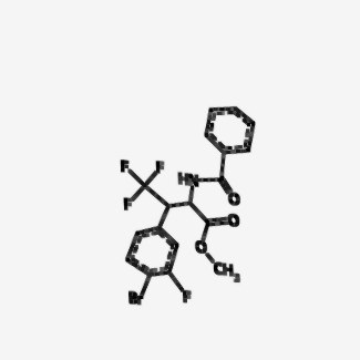 COC(=O)C(NC(=O)c1ccccc1)C(c1ccc(Br)c(F)c1)C(F)(F)F